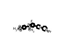 CC(C)N1CCCC(N2CCC(c3cc(F)c4nc(-c5ccc(S(C)(=O)=O)cc5)n(C)c4c3)CC2)CC1